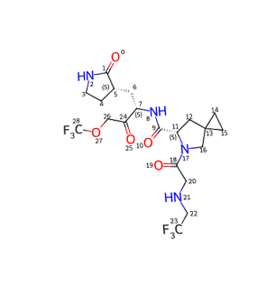 O=C1NCC[C@H]1C[C@H](NC(=O)[C@@H]1CC2(CC2)CN1C(=O)CNCC(F)(F)F)C(=O)COC(F)(F)F